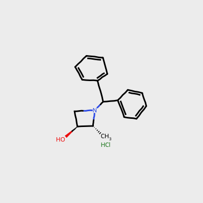 C[C@@H]1[C@@H](O)CN1C(c1ccccc1)c1ccccc1.Cl